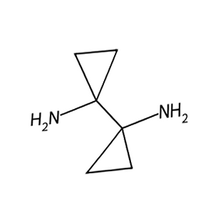 NC1(C2(N)CC2)CC1